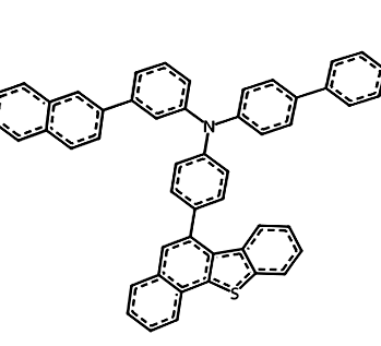 c1ccc(-c2ccc(N(c3ccc(-c4cc5ccccc5c5sc6ccccc6c45)cc3)c3cccc(-c4ccc5ccccc5c4)c3)cc2)cc1